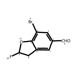 O=Cc1cc(Br)c2c(c1)CC(F)O2